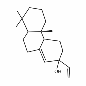 C=CC1(O)C=C2CCC3C(C)(C)CCC[C@]3(C)C2CC1